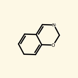 C1=CC2=C[N]COC2=CC1